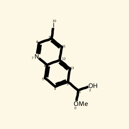 COC(O)c1ccc2ncc(I)cc2c1